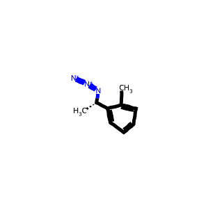 Cc1ccccc1[C@H](C)N=[N+]=[N-]